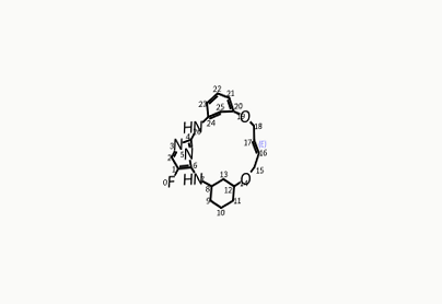 Fc1cnc2nc1NC1CCCC(C1)OC/C=C/COc1cccc(c1)N2